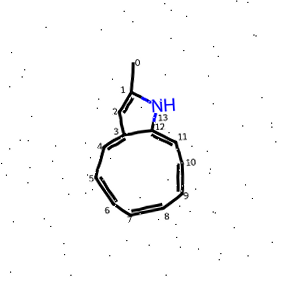 Cc1cc2ccccccccc2[nH]1